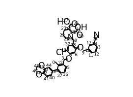 Cc1c(COc2cc(OCc3cccc(C#N)c3)c(CN3CCCC(C(=O)O)C3C(=O)O)cc2Cl)cccc1-c1ccc2c(c1)OCCO2